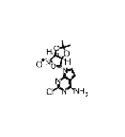 CC1(C)O[C@@H]2[C@H](O1)[C@@H](C=O)O[C@H]2n1ccc2c(N)nc(Cl)nc21